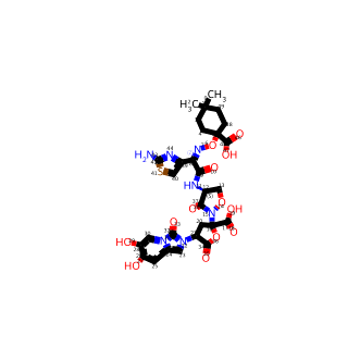 CC1(C)CCC(O/N=C(\C(=O)N[C@H]2CON(C3(C(=O)O)CC(n4cc5cc(O)c(O)cn5c4=O)C(=O)O3)C2=O)c2csc(N)n2)(C(=O)O)CC1